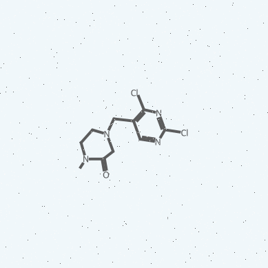 CN1CCN(Cc2cnc(Cl)nc2Cl)CC1=O